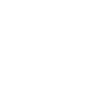 C=Cc1cccc(Cl)c1C(C)=O